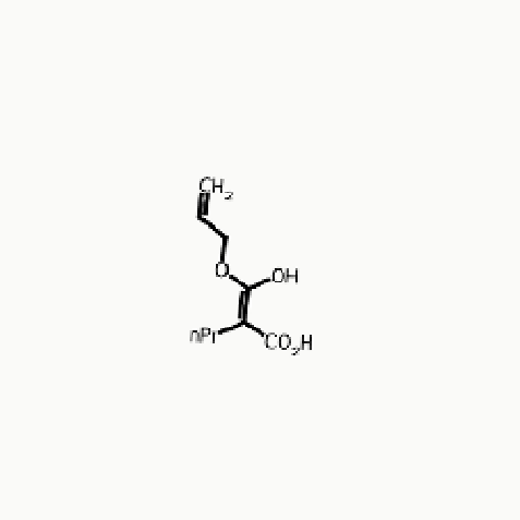 C=CCOC(O)=C(CCC)C(=O)O